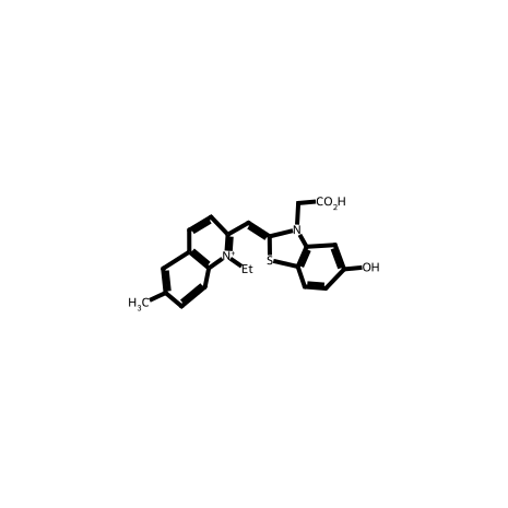 CC[n+]1c(C=C2Sc3ccc(O)cc3N2CC(=O)O)ccc2cc(C)ccc21